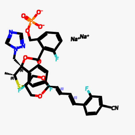 C[C@@H](S[C@H]1CO[C@H](/C=C/C=C/c2ccc(C#N)cc2F)OC1)[C@@](Cn1cncn1)(OC(=O)c1c(F)cccc1COP(=O)([O-])[O-])c1ccc(F)cc1F.[Na+].[Na+]